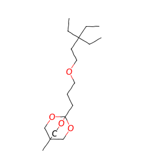 CCC(CC)(CC)CCOCCCC12OCC(C)(CO1)CO2